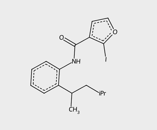 CC(C)CC(C)c1ccccc1NC(=O)c1ccoc1I